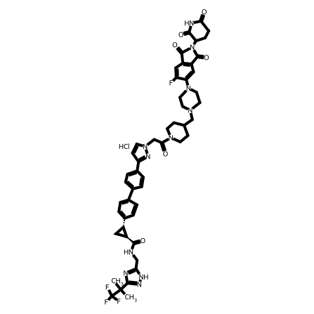 CC(C)(c1n[nH]c(CNC(=O)[C@H]2C[C@@H]2c2ccc(-c3ccc(-c4ccn(CC(=O)N5CCC(CN6CCN(c7cc8c(cc7F)C(=O)N(C7CCC(=O)NC7=O)C8=O)CC6)CC5)n4)cc3)cc2)n1)C(F)(F)F.Cl